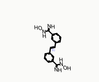 N=C(NO)c1cccc(/C=C/c2cccc(C(=N)NO)c2)c1